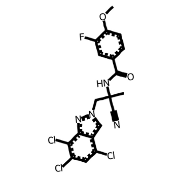 COc1ccc(C(=O)NC(C)(C#N)Cn2cc3c(Cl)cc(Cl)c(Cl)c3n2)cc1F